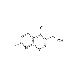 Cc1ccc2c(Cl)c(CO)cnc2n1